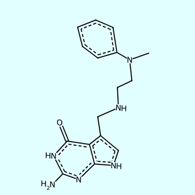 CN(CCNCc1c[nH]c2nc(N)[nH]c(=O)c12)c1ccccc1